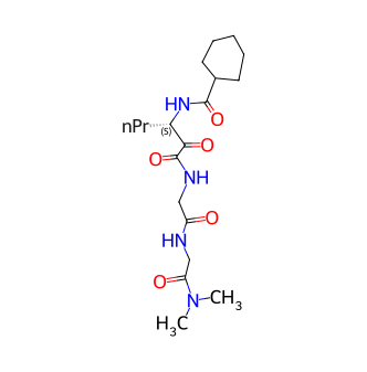 CCC[C@H](NC(=O)C1CCCCC1)C(=O)C(=O)NCC(=O)NCC(=O)N(C)C